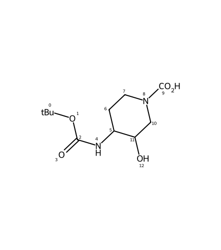 CC(C)(C)OC(=O)NC1CCN(C(=O)O)CC1O